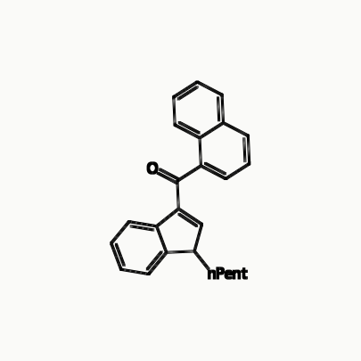 CCCCCC1C=C(C(=O)c2cccc3ccccc23)c2ccccc21